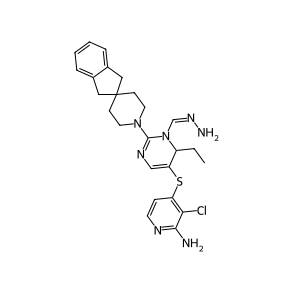 CCC1C(Sc2ccnc(N)c2Cl)=CN=C(N2CCC3(CC2)Cc2ccccc2C3)N1/C=N\N